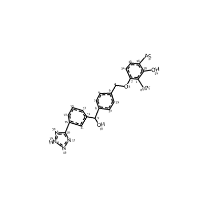 CCCc1c(OCc2ccc(C(O)c3cccc(-c4nn[nH]n4)c3)cc2)ccc(C(C)=O)c1O